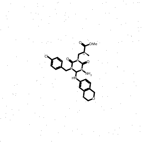 COC(=O)[C@@H](C)CN1C(=O)N(N)C(Nc2ccc3c(c2)CCOC3)N(Cc2ccc(Cl)cc2)C1=O